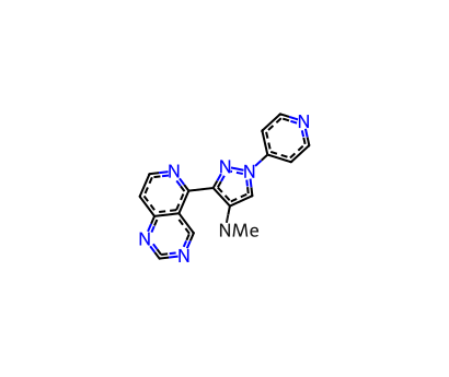 CNc1cn(-c2ccncc2)nc1-c1nccc2ncncc12